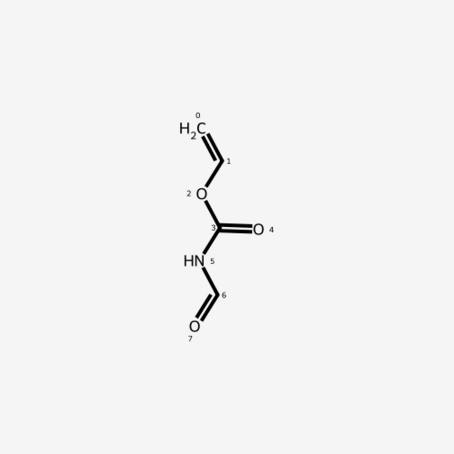 C=COC(=O)NC=O